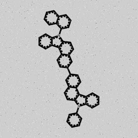 c1ccc(-n2c3ccccc3c3c4ccc(-c5ccc6c(ccc7c6c6ccccc6n7-c6cccc7ccccc67)c5)cc4ccc32)cc1